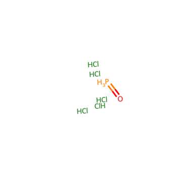 Cl.Cl.Cl.Cl.Cl.O=[PH3]